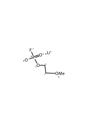 COCCOP(=O)([O-])F.[Li+]